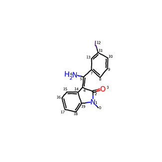 CN1C(=O)/C(=C(/N)c2cccc(I)c2)c2ccccc21